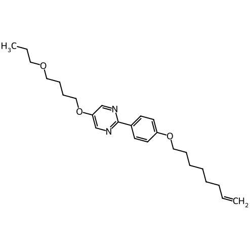 C=CCCCCCCOc1ccc(-c2ncc(OCCCCOCCC)cn2)cc1